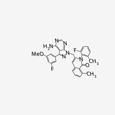 COc1cc(F)cc(-c2nn(Cc3cc4cccc(C)c4c(=O)n3-c3c(C)cccc3F)c3ncnc(N)c23)c1